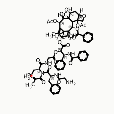 C=C(C)C(=O)N(C(=O)[C@H](Cc1ccccc1)NC(=O)CN)[C@@H](CC(C)C)C(=O)NCC(=O)O[C@@H](C(=O)O[C@H]1C[C@@]2(O)[C@@H](OC(=O)c3ccccc3)C3C4(OC(C)=O)CO[C@@H]4C[C@H](O)C3(C)C(=O)[C@H](OC(C)=O)C(=C1C)C2(C)C)[C@@H](NC(=O)c1ccccc1)c1ccccc1